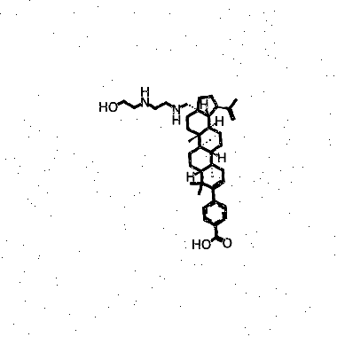 C=C(C)[C@@H]1CC[C@]2(CNCCNCCO)CC[C@]3(C)[C@H](CC[C@@H]4[C@@]5(C)CC=C(c6ccc(C(=O)O)cc6)C(C)(C)[C@@H]5CC[C@]43C)[C@@H]12